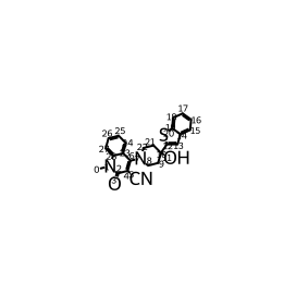 Cn1c(=O)c(C#N)c(N2CCC(O)(c3cc4ccccc4s3)CC2)c2ccccc21